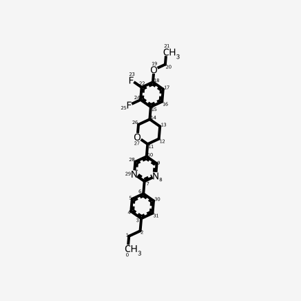 CCCc1ccc(-c2ncc(C3CCC(c4ccc(OCC)c(F)c4F)CO3)cn2)cc1